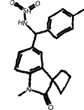 Cc1ccc(C(N[SH](=O)=O)c2ccc3c(c2)C2(CCC2)C(=O)N3C)cc1